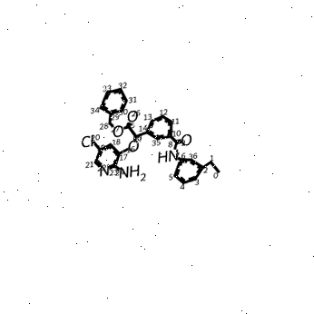 CCc1cccc(NC(=O)c2cccc([C@@H](Oc3cc(Cl)cnc3N)C(=O)OCc3ccccc3)c2)c1